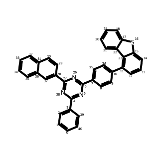 c1ccc(-c2nc(-c3ccc(-c4cccc5sc6ccccc6c45)cc3)nc(-c3ccc4ccccc4c3)n2)cc1